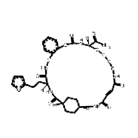 NC(=O)[C@@H]1CCCCNC(=O)/C=C/C(=O)N[C@H]2CC[C@H](CC2)C(=O)N[C@@H](CCc2ccco2)C(=O)NCc2ccccc2CC(=O)N1